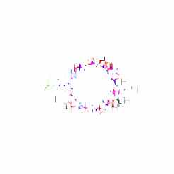 C#CCC[C@H]1C(=O)N[C@@H]([C@@H](C)CC)C(=O)N(C)CC(=O)N(C)CC(=O)N(C)[C@@H](Cc2ccc(I)cc2)C(=O)N(C)CC(=O)N[C@@H](CCc2ccc(C(F)(F)F)c(Cl)c2)C(=O)N2CCC[C@H]2C(=O)NC2(CCCC2)C(=O)N(C)[C@@H](C2CCCCC2)C(=O)N(C)[C@H](C(=O)N2CCCCC2)CC(=O)N1C